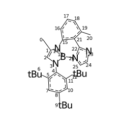 CC1=CN(c2c(C(C)(C)C)cc(C(C)(C)C)cc2C(C)(C)C)B2N1c1cccc(C)c1-c1nccn12